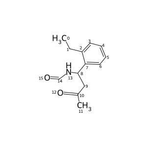 CCc1ccccc1C(CC(C)=O)NC=O